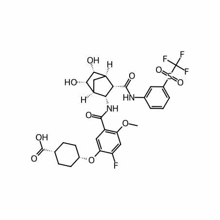 COc1cc(F)c(O[C@H]2CC[C@@H](C(=O)O)CC2)cc1C(=O)N[C@@H]1[C@@H]2C[C@@H]([C@@H](O)[C@H]2O)[C@@H]1C(=O)Nc1cccc(S(=O)(=O)C(F)(F)F)c1